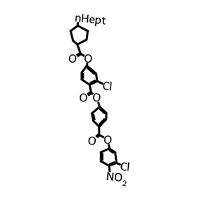 CCCCCCCC1CCC(C(=O)Oc2ccc(C(=O)Oc3ccc(C(=O)Oc4ccc([N+](=O)[O-])c(Cl)c4)cc3)c(Cl)c2)CC1